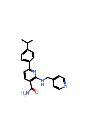 CC(C)c1ccc(-c2ccc(C(N)=O)c(NCc3ccncc3)n2)cc1